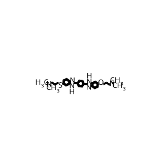 CN(C)CCCOc1ccc2nc(-c3ccc(-c4nc5ccc(SCCCN(C)C)cc5[nH]4)cc3)[nH]c2c1